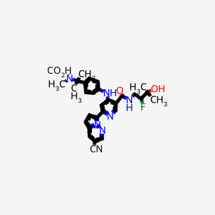 CN(C(=O)O)C(C)(C)c1ccc(Nc2cc(-c3ccc4cc(C#N)cnn34)ncc2C(=O)NCC(F)C(C)(C)O)cc1